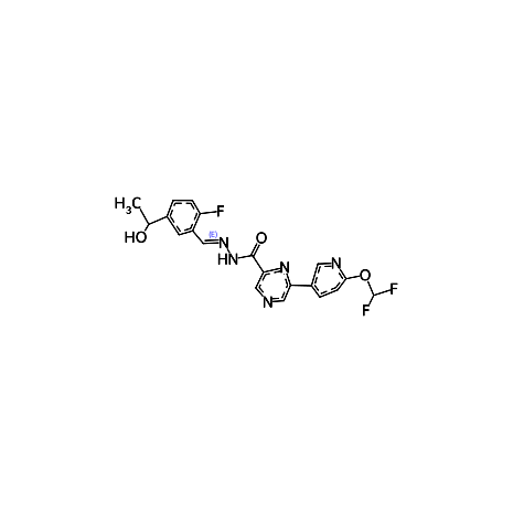 CC(O)c1ccc(F)c(/C=N/NC(=O)c2cncc(-c3ccc(OC(F)F)nc3)n2)c1